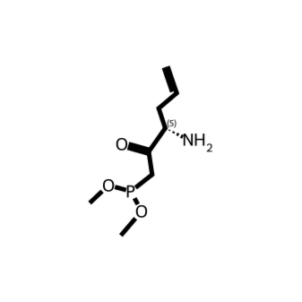 C=CC[C@H](N)C(=O)CP(OC)OC